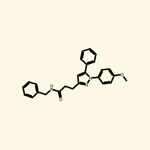 COc1ccc(-n2nc(CCC(=O)NCc3ccccc3)cc2-c2ccccc2)cc1